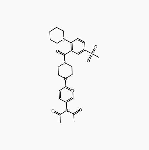 CC(=O)N(C(C)=O)c1ccc(N2CCN(C(=O)c3cc(S(C)(=O)=O)ccc3N3CCCCC3)CC2)nc1